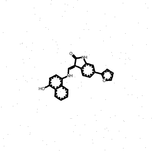 O=C1Nc2cc(-c3ccco3)ccc2/C1=C\Nc1ccc(O)c2ccccc12